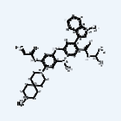 C=CC(=O)Nc1cc(Nc2ncc(C(=O)OC(C)C)c(-c3cn(C)c4ccccc34)n2)c(OC)cc1N1CCC2(CCN(C)CC2)CC1